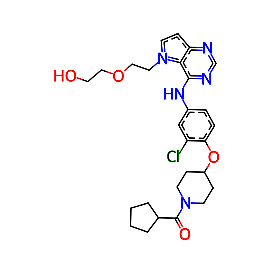 O=C(C1CCCC1)N1CCC(Oc2ccc(Nc3ncnc4ccn(CCOCCO)c34)cc2Cl)CC1